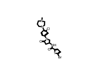 CN1CCCN(c2ccc(N3CC(NC(=O)c4ccc(Br)s4)CC3=O)cc2Cl)CC1